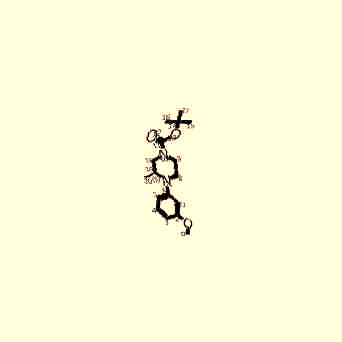 COc1cccc(N2CCN(C(=O)OC(C)(C)C)C[C@@H]2C)c1